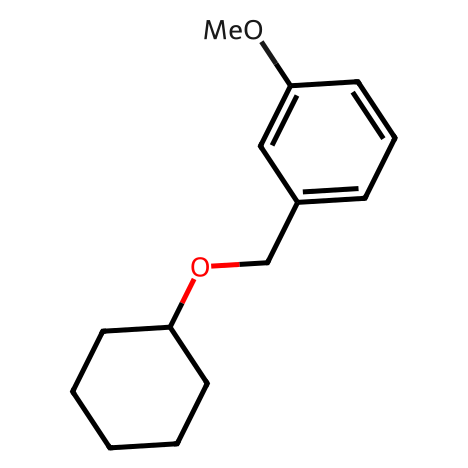 COc1cccc(COC2CCCCC2)c1